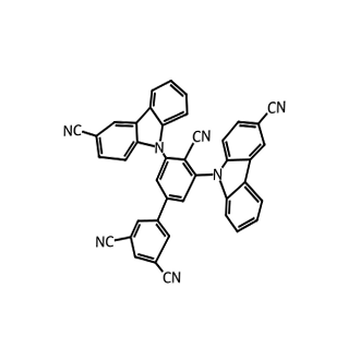 N#Cc1cc(C#N)cc(-c2cc(-n3c4ccccc4c4cc(C#N)ccc43)c(C#N)c(-n3c4ccccc4c4cc(C#N)ccc43)c2)c1